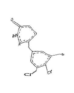 O=c1ccc(-c2cc(Cl)c(Cl)c(Br)c2)n[nH]1